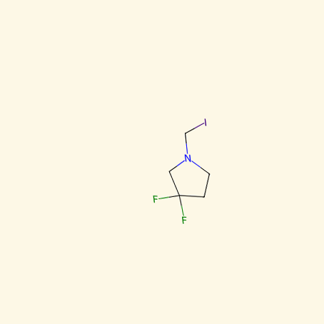 FC1(F)CCN(CI)C1